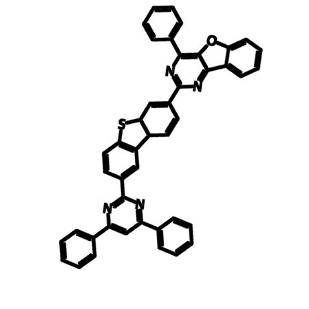 C1=CC2c3cc(-c4nc(-c5ccccc5)cc(-c5ccccc5)n4)ccc3SC2C=C1c1nc(-c2ccccc2)c2oc3ccccc3c2n1